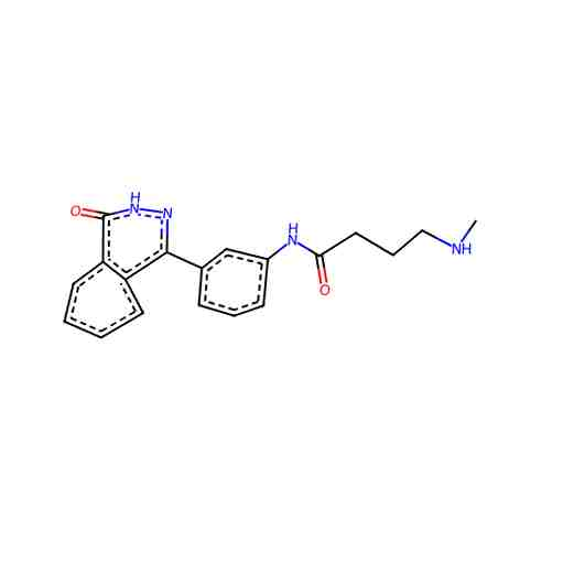 CNCCCC(=O)Nc1cccc(-c2n[nH]c(=O)c3ccccc23)c1